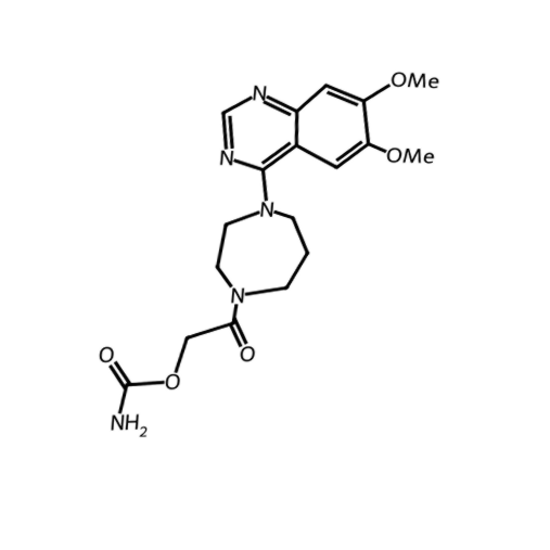 COc1cc2ncnc(N3CCCN(C(=O)COC(N)=O)CC3)c2cc1OC